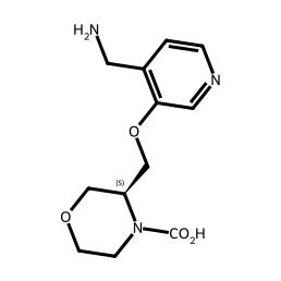 NCc1ccncc1OC[C@@H]1COCCN1C(=O)O